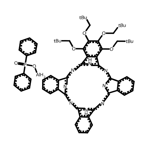 CC(C)(C)COc1c(OCC(C)(C)C)c(OCC(C)(C)C)c2c3nc4nc(nc5[nH]c(nc6nc(nc([nH]3)c2c1OCC(C)(C)C)-c1ccccc1-6)c1ccccc51)-c1ccccc1-4.O=P([O][AlH2])(c1ccccc1)c1ccccc1